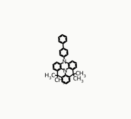 CC1(C)c2cccc3c2N2c4c(cccc4C(C)(C)c4cccc1c42)N3c1ccc(-c2ccccc2)cc1